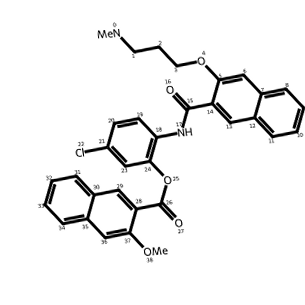 CNCCCOc1cc2ccccc2cc1C(=O)Nc1ccc(Cl)cc1OC(=O)c1cc2ccccc2cc1OC